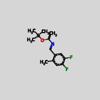 C=C(/N=C/c1cc(F)c(F)cc1C)O[Si](C)(C)C